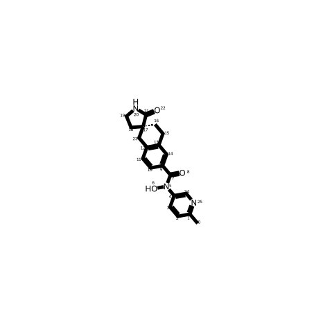 Cc1ccc(N(O)C(=O)c2ccc3c(c2)CC[C@@]2(CCNC2=O)C3)cn1